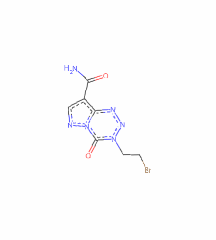 NC(=O)c1cnn2c(=O)n(CCBr)nnc12